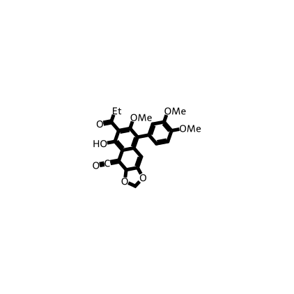 CCC(=O)c1c(O)c2c(c(-c3ccc(OC)c(OC)c3)c1OC)C=C1OCOC1C2=C=O